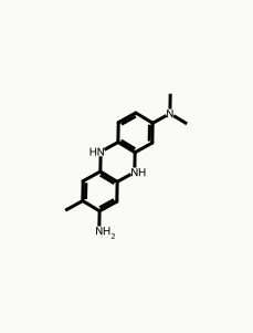 Cc1cc2c(cc1N)Nc1cc(N(C)C)ccc1N2